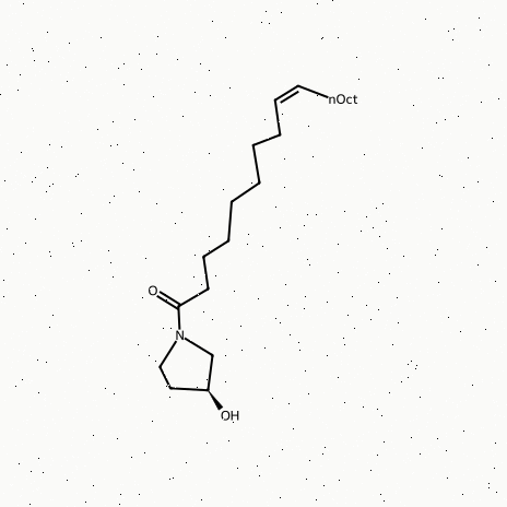 CCCCCCCC/C=C\CCCCCCCC(=O)N1CC[C@H](O)C1